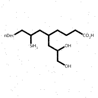 CCCCCCCCCCCC([SiH3])CC(CCCC(=O)O)CC(O)CO